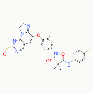 C[S+]([O-])c1ncc2c(n1)N1CCN=C1C(Oc1ccc(NC(=O)C3(C(=O)Nc4ccc(F)cc4)CC3)cc1F)=C2